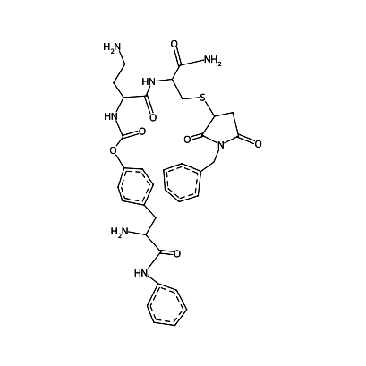 NCCC(NC(=O)Oc1ccc(CC(N)C(=O)Nc2ccccc2)cc1)C(=O)NC(CSC1CC(=O)N(Cc2ccccc2)C1=O)C(N)=O